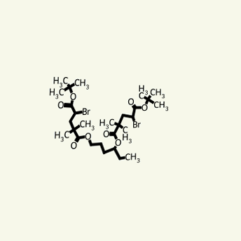 CCC(CCCOC(=O)C(C)(C)CC(Br)C(=O)OC(C)(C)C)OC(=O)C(C)(C)CC(Br)C(=O)OC(C)(C)C